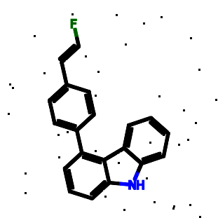 FC=Cc1ccc(-c2cccc3[nH]c4ccccc4c23)cc1